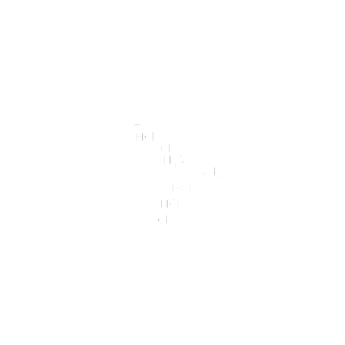 Cl.Cl.Cl.Cl.[Cl-].[H+].[SiH4].[SiH4]